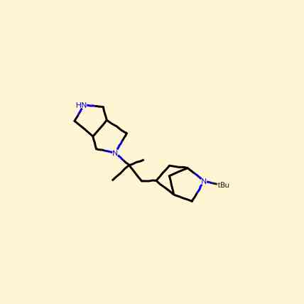 CC(C)(C)N1CC2CC1CC2CC(C)(C)N1CC2CNCC2C1